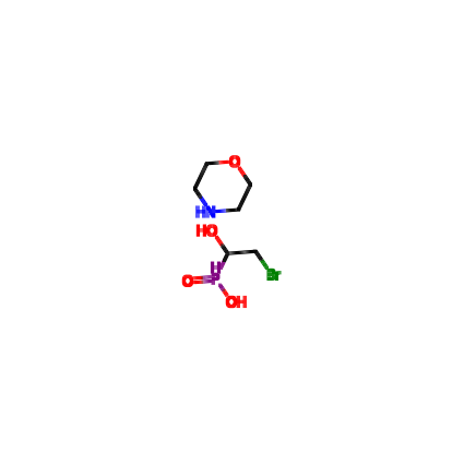 C1COCCN1.O=[PH](O)C(O)CBr